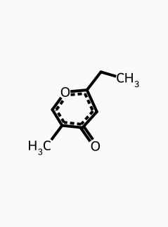 CCc1cc(=O)c(C)co1